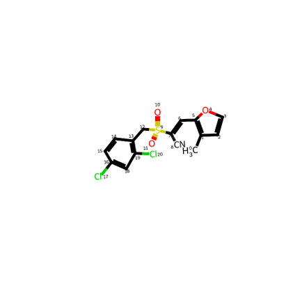 Cc1ccoc1/C=C(\C#N)S(=O)(=O)Cc1ccc(Cl)cc1Cl